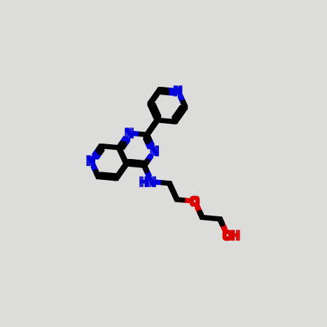 OCCOCCNc1nc(-c2ccncc2)nc2cnccc12